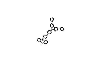 c1ccc(-c2ccc3c(c2)c2cc(-c4ccccc4)ccc2n3-c2ccc(-c3ccc4c(c3)c3cccc5c3n4-c3ccccc3S5)cc2)cc1